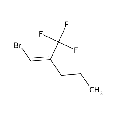 CCC/C(=C/Br)C(F)(F)F